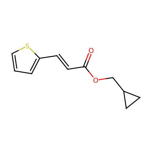 O=C(C=Cc1cccs1)OCC1CC1